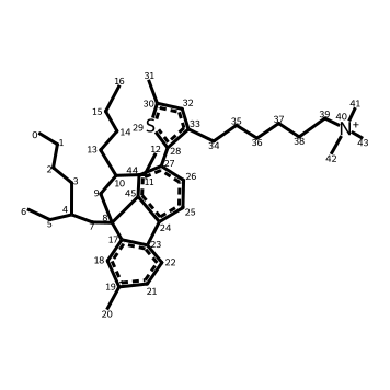 CCCCC(CC)CC1(CC(CC)CCCC)c2cc(C)ccc2-c2ccc(-c3sc(C)cc3CCCCCC[N+](C)(C)C)cc21